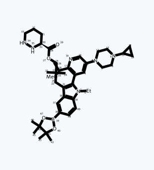 CCn1c(-c2cc(N3CCN(C4CC4)CC3)cnc2[C@H](C)OC)c(CC(C)(C)COC(=O)[C@@H]2CCCNN2)c2cc(B3OC(C)(C)C(C)(C)O3)ccc21